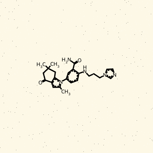 Cc1cc2c(n1-c1ccc(NCCCn3ccnc3)c(C(N)=O)c1)CC(C)(C)CC2=O